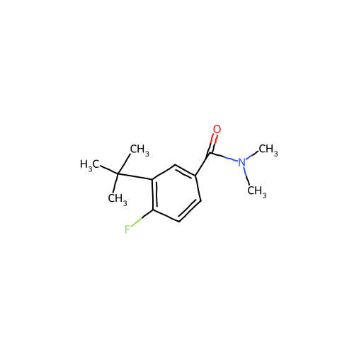 CN(C)C(=O)c1ccc(F)c(C(C)(C)C)c1